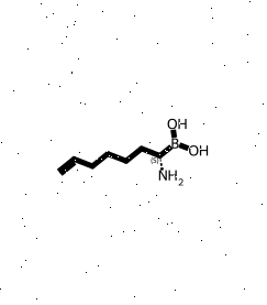 C=CCCCC[C@@H](N)B(O)O